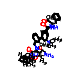 COC(=O)[C@H](Cc1ccccc1)NC(=O)c1cc(-c2cccc(CN3O[C@@H](CN)[C@@H]([C@H](C)O)[C@H]3C(=O)NC3C[C@H]4C[C@@H]([C@@H]3C)C4(C)C)c2OC)cc(N(C)C)c1